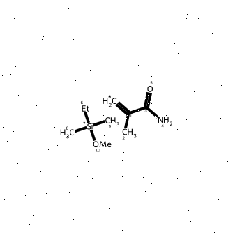 C=C(C)C(N)=O.CC[Si](C)(C)OC